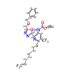 CC(C)(C)OC(=O)Nc1cc(C(F)(F)F)c(SCCCCCCC(F)(F)F)nc1-c1nnc(COCc2ccccc2)o1